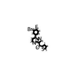 O=C(c1cccs1)c1cnn2c(-c3ccc(F)c(Br)c3)ccnc12